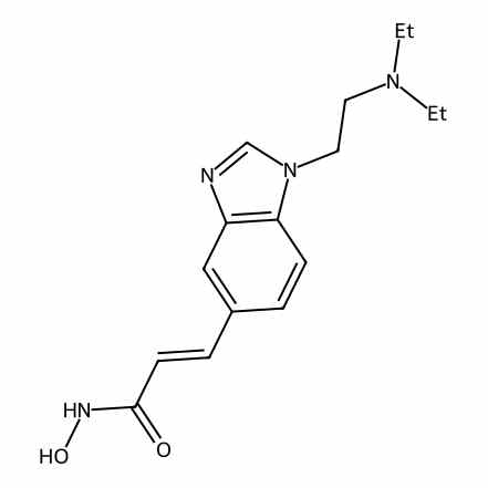 CCN(CC)CCn1cnc2cc(C=CC(=O)NO)ccc21